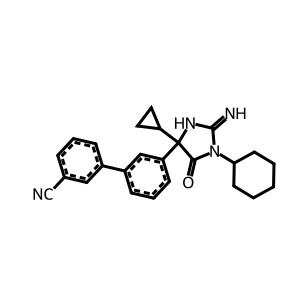 N#Cc1cccc(-c2cccc(C3(C4CC4)NC(=N)N(C4CCCCC4)C3=O)c2)c1